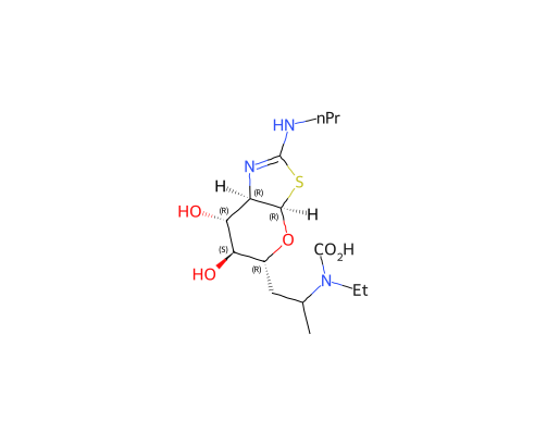 CCCNC1=N[C@@H]2[C@@H](O)[C@H](O)[C@@H](CC(C)N(CC)C(=O)O)O[C@@H]2S1